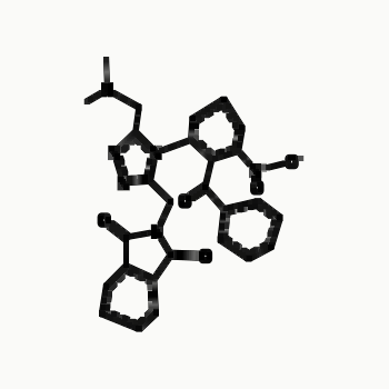 CN(C)Cc1nnc(CN2C(=O)c3ccccc3C2=O)n1-c1cccc([N+](=O)[O-])c1C(=O)c1ccccc1